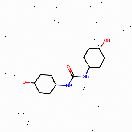 O=C(NC1CCC(O)CC1)NC1CCC(O)CC1